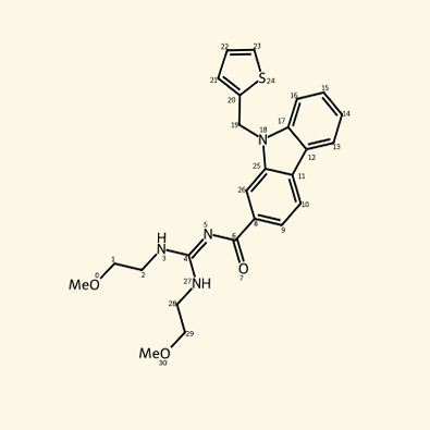 COCCNC(=NC(=O)c1ccc2c3ccccc3n(Cc3cccs3)c2c1)NCCOC